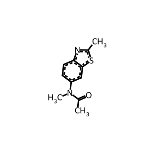 CC(=O)N(C)c1ccc2nc(C)sc2c1